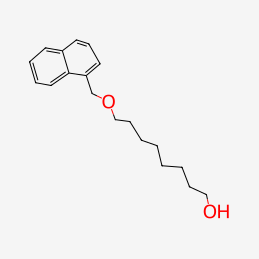 OCCCCCCCCOCc1cccc2ccccc12